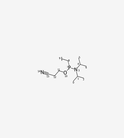 CC(C)N(C(C)C)P(CI)OCCC#N